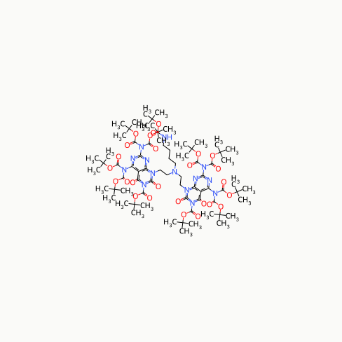 CC(C)(C)OC(=O)NCCCCN(CCn1c(=O)n(C(=O)OC(C)(C)C)c(=O)c2c(N(C(=O)OC(C)(C)C)C(=O)OC(C)(C)C)nc(N(C(=O)OC(C)(C)C)C(=O)OC(C)(C)C)nc21)CCn1c(=O)n(C(=O)OC(C)(C)C)c(=O)c2c(N(C(=O)OC(C)(C)C)C(=O)OC(C)(C)C)nc(N(C(=O)OC(C)(C)C)C(=O)OC(C)(C)C)nc21